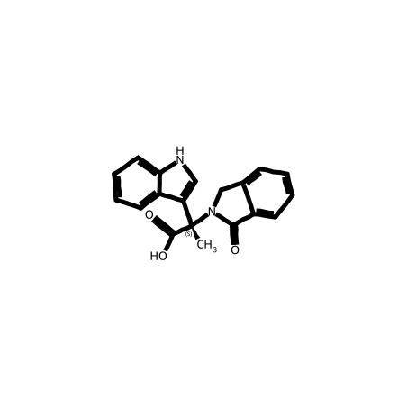 C[C@@](C(=O)O)(c1c[nH]c2ccccc12)N1Cc2ccccc2C1=O